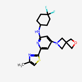 Cc1csc(-c2cc(N3CC4(COC4)C3)cc(NC3CCC(F)(F)CC3)n2)n1